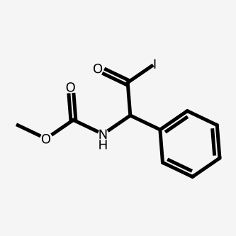 COC(=O)NC(C(=O)I)c1ccccc1